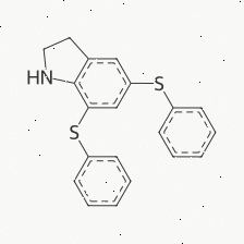 c1ccc(Sc2cc3c(c(Sc4ccccc4)c2)NCC3)cc1